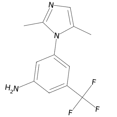 Cc1cnc(C)n1-c1cc(N)cc(C(F)(F)F)c1